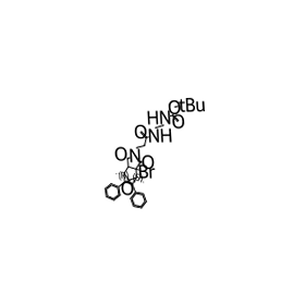 CC(C)(C)OC(=O)NCCNC(=O)CCN1C(=O)C2C(Br)(C1=O)[C@]1(C)C(=O)[C@@]2(C)C(c2ccccc2)=C1c1ccccc1